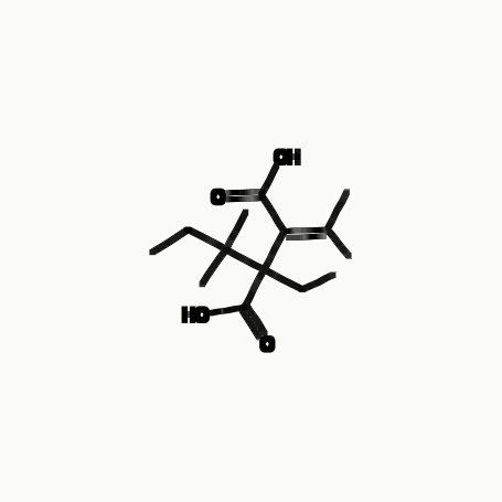 CCC(C)(C)C(CC)(C(=O)O)C(C(=O)O)=C(C)C